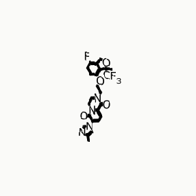 Cc1cn(-c2ccc3n(c2=O)CCN(CCOc2ccc(F)c4c2C(C)(C(F)(F)F)OC4)C3=O)cn1